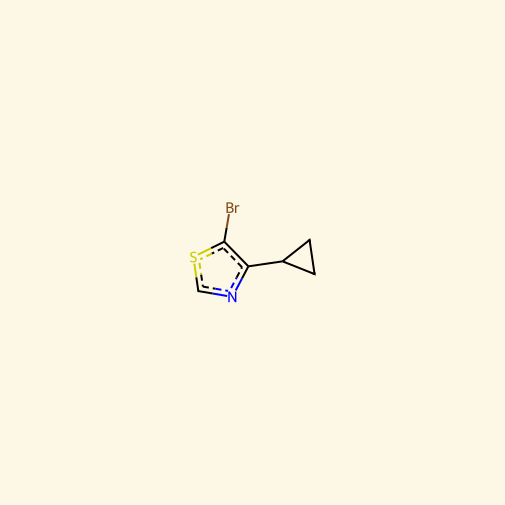 Brc1scnc1C1CC1